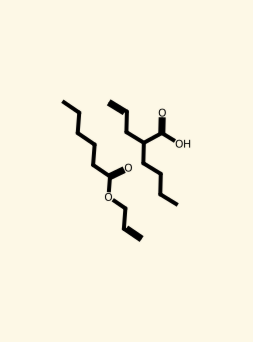 C=CCC(CCCC)C(=O)O.C=CCOC(=O)CCCCC